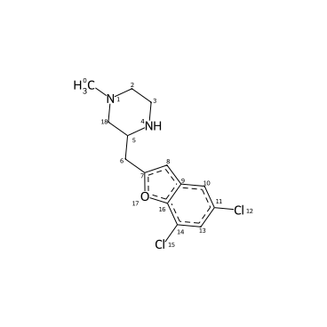 CN1CCNC(Cc2cc3cc(Cl)cc(Cl)c3o2)C1